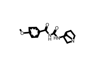 COc1ccc(C(=O)NC(=O)NC2CN3CCC2CC3)cc1